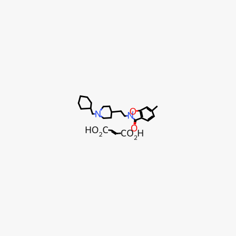 Cc1ccc2c(=O)n(CCC3CCN(CC4CCCCC4)CC3)oc2c1.O=C(O)C=CC(=O)O